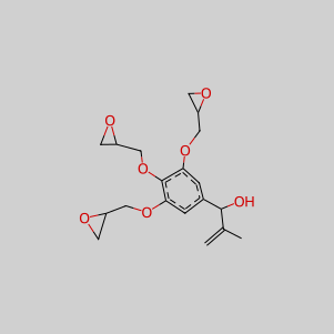 C=C(C)C(O)c1cc(OCC2CO2)c(OCC2CO2)c(OCC2CO2)c1